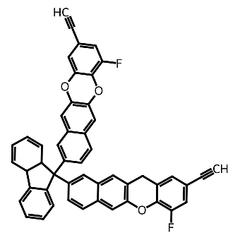 C#Cc1cc(F)c2c(c1)Cc1cc3cc(C4(c5ccc6cc7c(cc6c5)Oc5cc(C#C)cc(F)c5O7)c5ccccc5C5C=CC=CC54)ccc3cc1O2